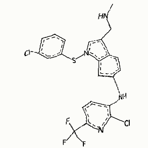 CNCc1cn(Sc2cccc(Cl)c2)c2cc(Nc3ccc(C(F)(F)F)nc3Cl)ccc12